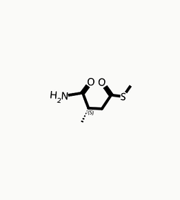 CSC(=O)C[C@H](C)C(N)=O